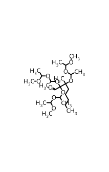 CCCCCC(C)(OC(C)OC(C)OC)C(C=O)(OC(C)OC(C)OC)OC(C)OC(C)OC